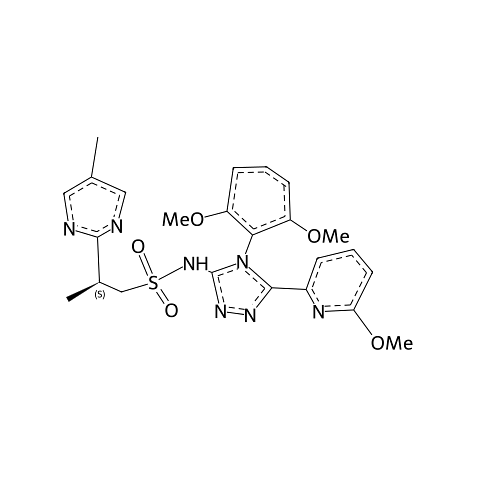 COc1cccc(-c2nnc(NS(=O)(=O)C[C@@H](C)c3ncc(C)cn3)n2-c2c(OC)cccc2OC)n1